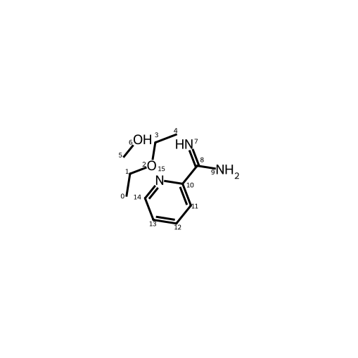 CCOCC.CO.N=C(N)c1ccccn1